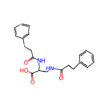 O=C(CCc1ccccc1)NCC(NC(=O)CCc1ccccc1)C(=O)O